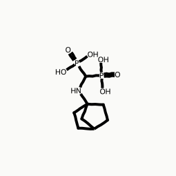 O=P(O)(O)C(NC12CCC(CC1)C2)P(=O)(O)O